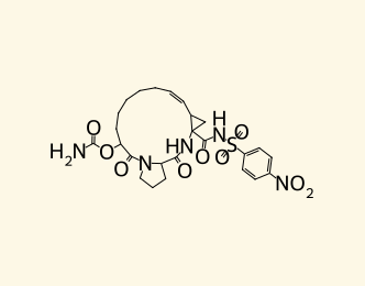 NC(=O)OC1CCCCC/C=C\C2CC2(C(=O)NS(=O)(=O)c2ccc([N+](=O)[O-])cc2)NC(=O)C2CCCN2C1=O